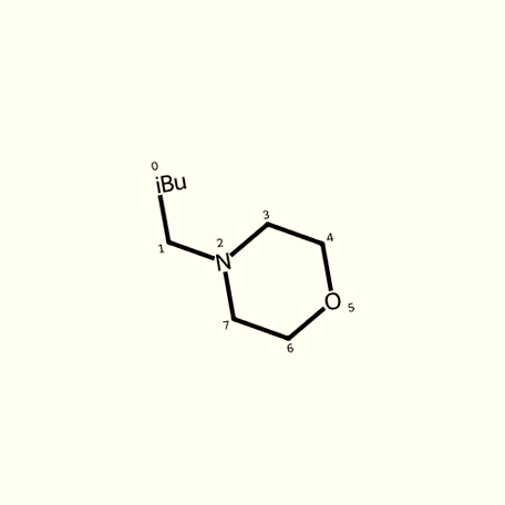 CCC(C)CN1CCOCC1